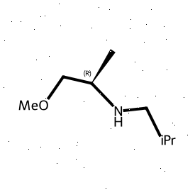 COC[C@@H](C)NCC(C)C